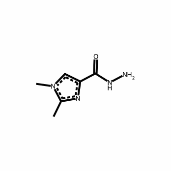 Cc1nc(C(=O)NN)cn1C